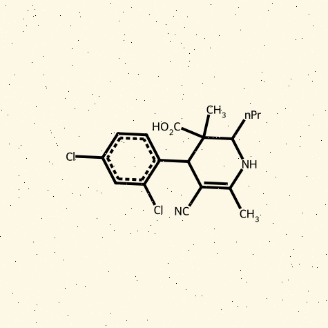 CCCC1NC(C)=C(C#N)C(c2ccc(Cl)cc2Cl)C1(C)C(=O)O